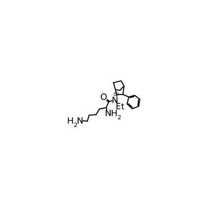 CCN(C(=O)C(N)CCCCN)[C@H]1C2CCC(C2)C1c1ccccc1